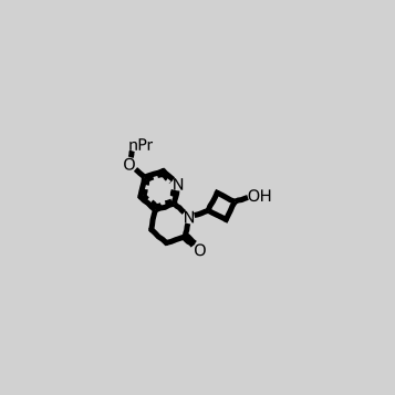 CCCOc1cnc2c(c1)CCC(=O)N2C1CC(O)C1